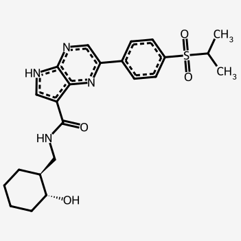 CC(C)S(=O)(=O)c1ccc(-c2cnc3[nH]cc(C(=O)NC[C@@H]4CCCC[C@H]4O)c3n2)cc1